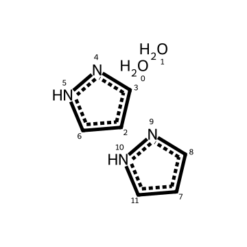 O.O.c1cn[nH]c1.c1cn[nH]c1